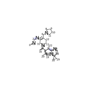 C=N/C=N\C1=C(CN2CCCC2)CCN(C(=C)C(=C(C)C)/C(C)=C(/N=C)NC2(C)CC2)C1